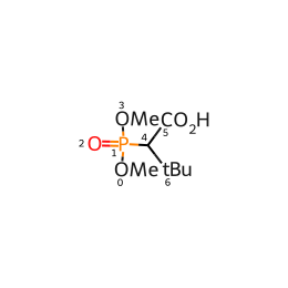 COP(=O)(OC)C(C(=O)O)C(C)(C)C